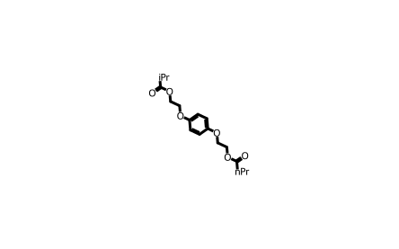 CCCC(=O)OCCOc1ccc(OCCOC(=O)C(C)C)cc1